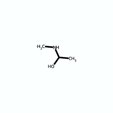 [CH2]NC(C)O